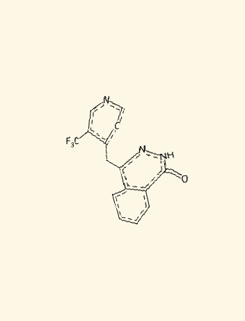 O=c1[nH]nc(Cc2ccncc2C(F)(F)F)c2ccccc12